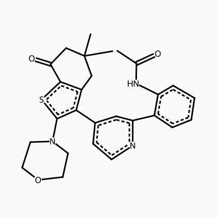 CC(=O)Nc1ccccc1-c1cc(-c2c(N3CCOCC3)sc3c2CC(C)(C)CC3=O)ccn1